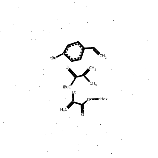 C=C(C)C(=O)OCC(C)C.C=C(CC)C(=O)OCCCCCC.C=Cc1ccc(C(C)(C)C)cc1